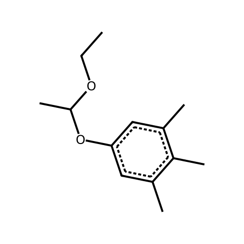 CCOC(C)Oc1cc(C)c(C)c(C)c1